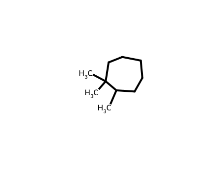 CC1CCC[CH]CC1(C)C